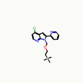 C[Si](C)(C)CCOCn1c(-c2ccccn2)cc2c(Cl)ccnc21